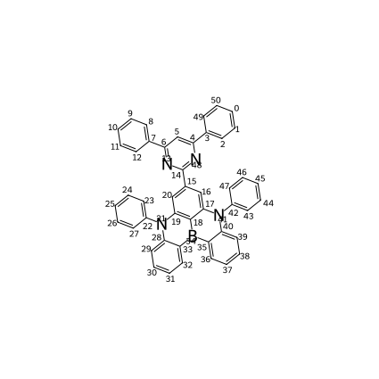 c1ccc(-c2cc(-c3ccccc3)nc(-c3cc4c5c(c3)N(c3ccccc3)c3ccccc3B5c3ccccc3N4c3ccccc3)n2)cc1